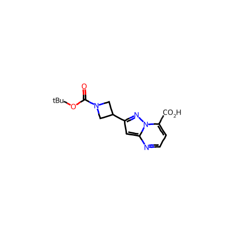 CC(C)(C)OC(=O)N1CC(c2cc3nccc(C(=O)O)n3n2)C1